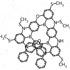 CSc1cc2c3c(c1)N(SC)c1cc4c(cc1B3c1cc3c(cc1O2)N(SC)c1cc(SC)cc2c1B3c1oc3ccccc3c1N2c1ccccc1)B1c2oc3ccccc3c2N(c2ccccc2)c2cc(SC)cc(c21)N4